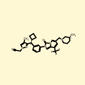 Cc1cn(CC#N)nc1[C@H](c1cccc(-n2cc3c(C(F)(F)F)cc(CN4CCC[C@H](C)C4)cn3c2=O)c1)C1CCC1